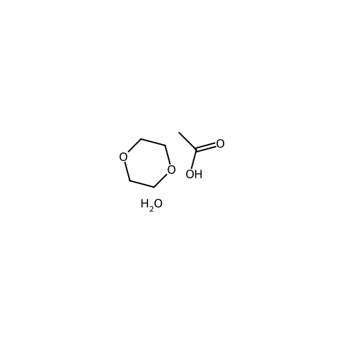 C1COCCO1.CC(=O)O.O